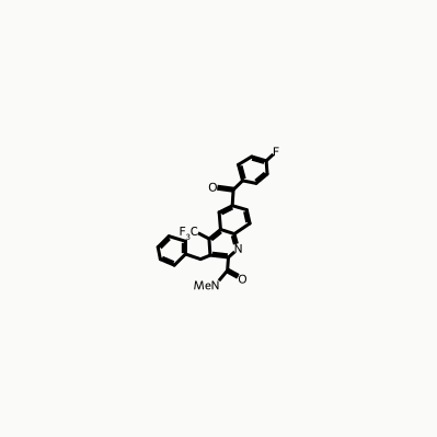 CNC(=O)c1nc2ccc(C(=O)c3ccc(F)cc3)cc2c(C(F)(F)F)c1Cc1ccccc1